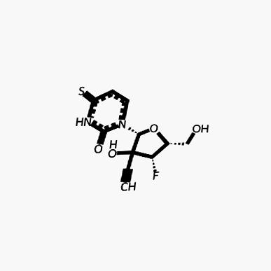 C#CC1(O)[C@@H](F)[C@@H](CO)O[C@H]1n1ccc(=S)[nH]c1=O